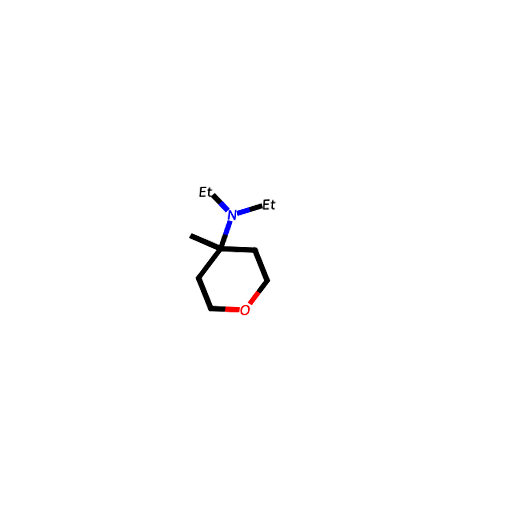 CCN(CC)C1(C)CCOCC1